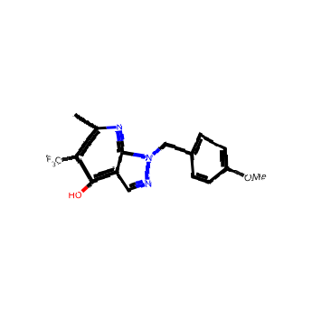 COc1ccc(Cn2ncc3c(O)c(C(F)(F)F)c(C)nc32)cc1